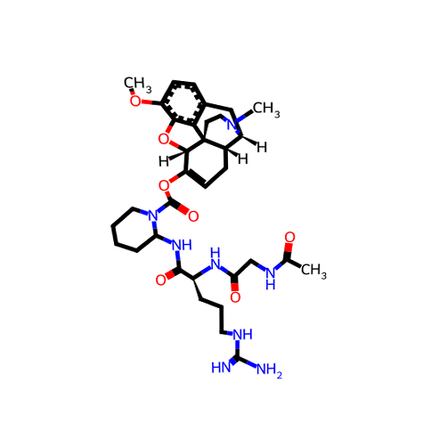 COc1ccc2c3c1O[C@H]1C(OC(=O)N4CCCCC4NC(=O)[C@H](CCCNC(=N)N)NC(=O)CNC(C)=O)=CC[C@H]4[C@@H](C2)N(C)CC[C@]314